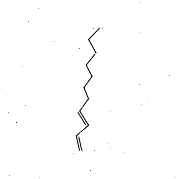 [CH]=CC=CCCCCCC[CH2]